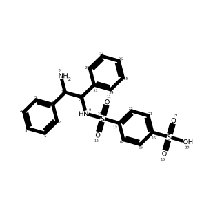 NC(c1ccccc1)C(NS(=O)(=O)c1ccc(S(=O)(=O)O)cc1)c1ccccc1